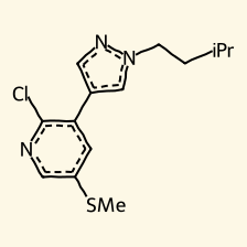 CSc1cnc(Cl)c(-c2cnn(CCC(C)C)c2)c1